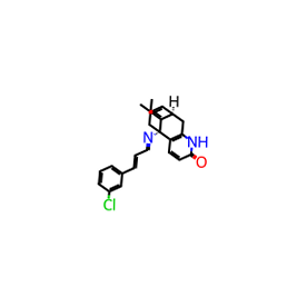 C/C=C1\[C@H]2C=C(C)C[C@]1(/N=C/C=C/c1cccc(Cl)c1)c1ccc(=O)[nH]c1C2